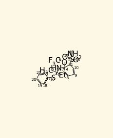 CCC(C)(NC1(OC(F)(F)F)C=CC=CC1S(N)(=O)=O)Sc1ccccc1